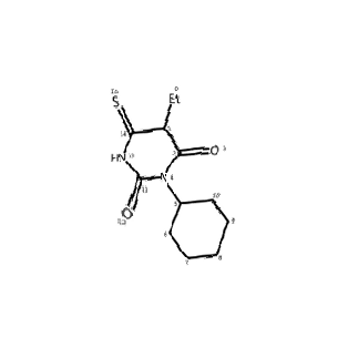 CCC1C(=O)N(C2CCCCC2)C(=O)NC1=S